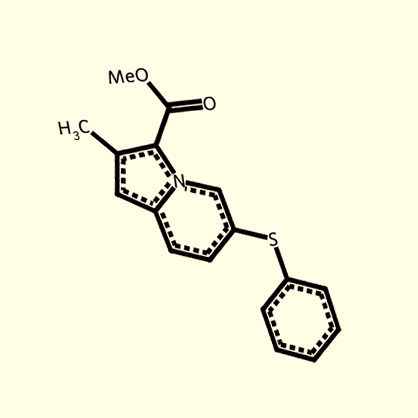 COC(=O)c1c(C)cc2ccc(Sc3ccccc3)cn12